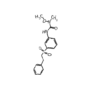 CON(C)C(=O)Nc1cccc(S(=O)(=O)CCc2ccccc2)c1